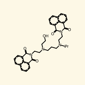 CC(C)N(CCCN(CCO)CCN1C(=O)c2cccc3cccc(c23)C1=O)CCN1C(=O)c2cccc3cccc(c23)C1=O